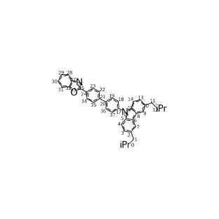 CC(C)Cc1ccc2c(c1)c1cc(CC(C)C)ccc1n2-c1ccc(-c2ccc(-c3nc4ccccc4o3)cc2)cc1